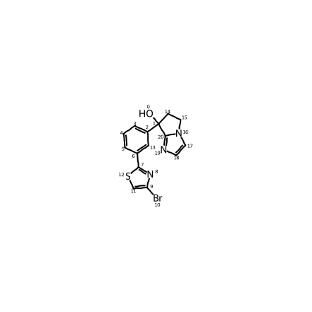 OC1(c2cccc(-c3nc(Br)cs3)c2)CCn2ccnc21